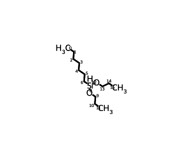 CCCCCCC[SiH](OCCC)OCCC